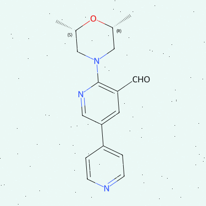 C[C@@H]1CN(c2ncc(-c3ccncc3)cc2C=O)C[C@H](C)O1